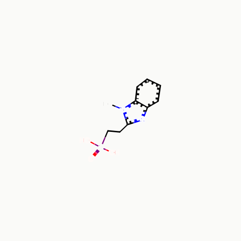 Cn1c(CCP(=O)(O)O)nc2ccccc21